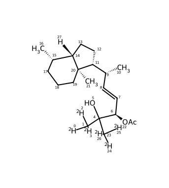 [2H]C([2H])([2H])C(O)([C@@H](/C=C/[C@@H](C)[C@H]1CC[C@H]2[C@@H](C)CCC[C@]12C)OC(C)=O)C([2H])([2H])[2H]